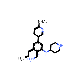 C=C/C=c1/cc(C2C=NC(NC(C)=O)=CC2)cc(NC2CCNCC2)/c1=C/N